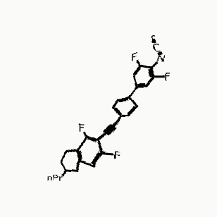 CCCC1CCc2c(cc(F)c(C#Cc3ccc(-c4cc(F)c(N=C=S)c(F)c4)cc3)c2F)C1